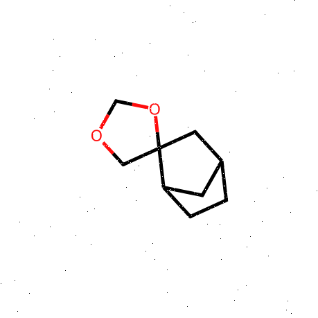 C1OCC2(CC3CCC2C3)O1